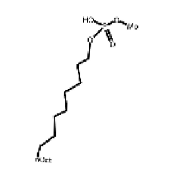 CCCCCCCCCCCCCCCCOP(=O)(O)[O][Mo]